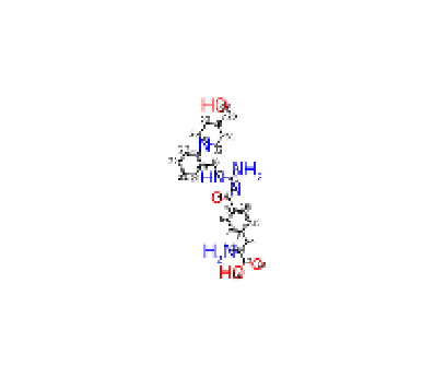 NC(=NC(=O)c1ccc(CC(N)C(=O)O)cc1)NCc1ccccc1N1CCC(CO)CC1